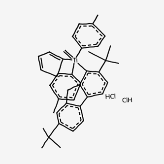 Cl.Cl.[CH2]=[Ti]([C]1=CC=CC1)([c]1ccc(C)cc1)([c]1ccc(C)cc1)[c]1c(C(C)(C)C)ccc2c1Cc1cc(C(C)(C)C)ccc1-2